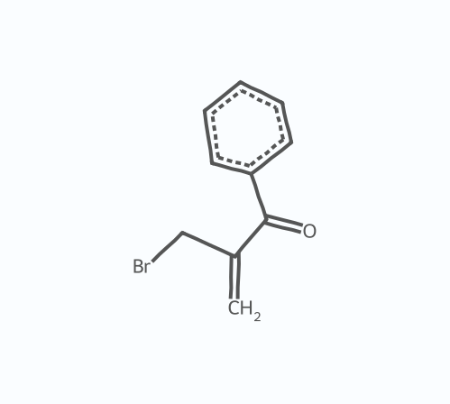 C=C(CBr)C(=O)c1ccccc1